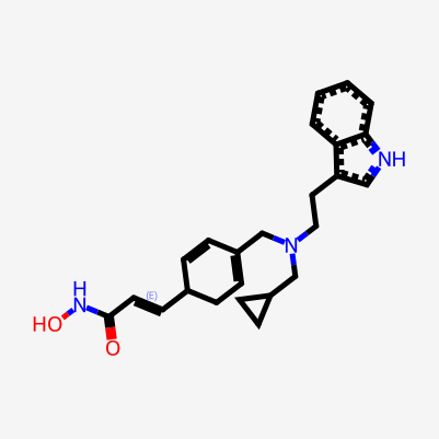 O=C(/C=C/C1C=CC(CN(CCc2c[nH]c3ccccc23)CC2CC2)=CC1)NO